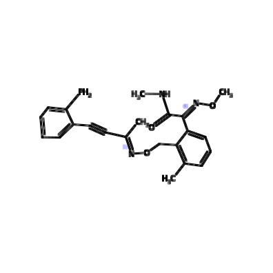 CNC(=O)/C(=N/OC)c1cccc(C)c1CO/N=C(\C)C#Cc1ccccc1P